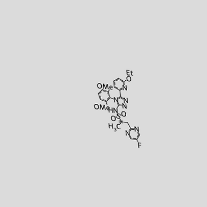 CCOc1cccc(-c2nnc(NS(=O)(=O)[C@H](C)Cc3ncc(F)cn3)n2-c2c(OC)cccc2OC)n1